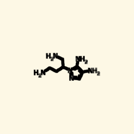 NCCC(CN)n1ncc(N)c1N